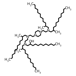 CCCCCCCCCCC(C)CN(CCN1CCN(CCN(CC(C)CCCCCCCCCC)CC(C)CCCCCCCCCC)CC1)CCN(CC(C)CCCCCCCCCC)CC(O)CCCCCCCCCC